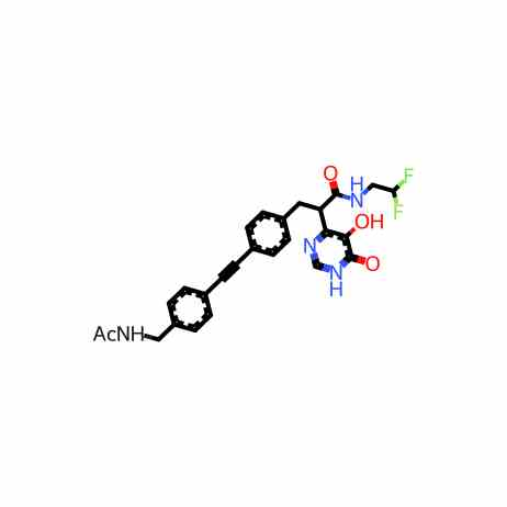 CC(=O)NCc1ccc(C#Cc2ccc(CC(C(=O)NCC(F)F)c3nc[nH]c(=O)c3O)cc2)cc1